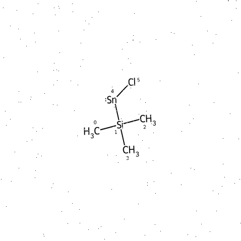 C[Si](C)(C)[Sn][Cl]